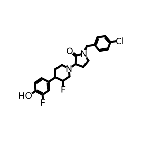 O=C1C(N2CCC(c3ccc(O)c(F)c3)C(F)C2)CCN1Cc1ccc(Cl)cc1